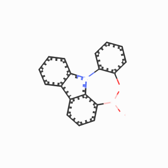 OB1Oc2ccccc2-n2c3ccccc3c3cccc1c32